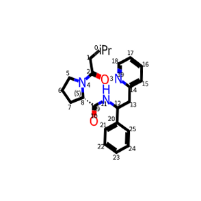 CC(C)CC(=O)N1CCC[C@H]1C(=O)NC(Cc1ccccn1)c1ccccc1